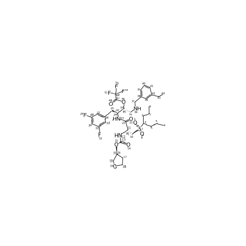 CCCC(CCC)S(=O)(=O)C[C@H](NC(=O)O[C@H]1CCOC1)C(=O)N[C@@H](Cc1cc(F)cc(F)c1)[C@@H](CNCc1cccc(CC)c1)OC(=O)C(F)(F)F